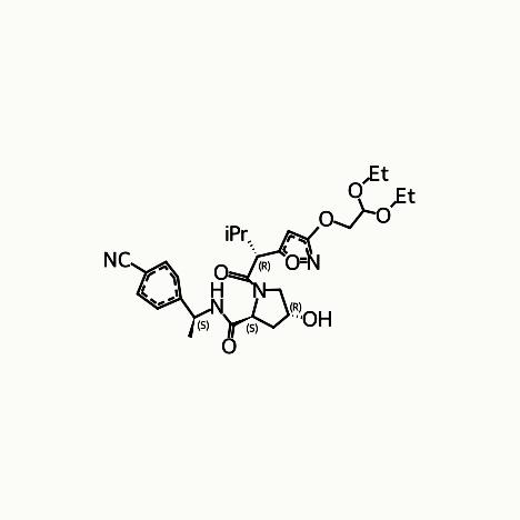 CCOC(COc1cc([C@H](C(=O)N2C[C@H](O)C[C@H]2C(=O)N[C@@H](C)c2ccc(C#N)cc2)C(C)C)on1)OCC